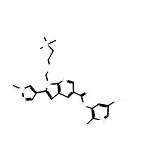 CCOC(=O)c1cnc(C)c(NC(=O)c2cnc3c(c2)cc(-c2cnn(C)c2)n3COCC[Si](C)(C)C)c1